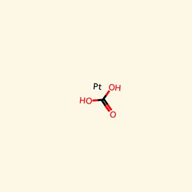 O=C(O)O.[Pt]